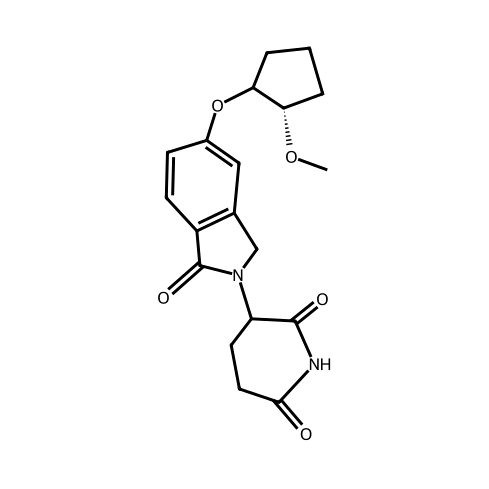 CO[C@H]1CCCC1Oc1ccc2c(c1)CN(C1CCC(=O)NC1=O)C2=O